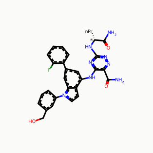 CCC[C@@H](Nc1nnc(C(N)=O)c(Nc2cc(-c3ccccc3F)cc3c2ccn3-c2cccc(CO)c2)n1)C(N)=O